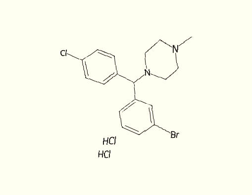 CN1CCN(C(c2ccc(Cl)cc2)c2cccc(Br)c2)CC1.Cl.Cl